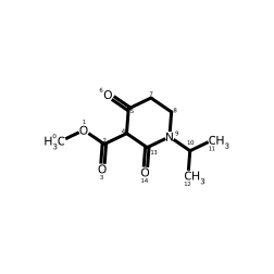 COC(=O)C1C(=O)CCN(C(C)C)C1=O